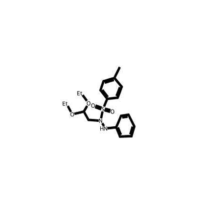 CCOC(CN(Nc1ccccc1)S(=O)(=O)c1ccc(C)cc1)OCC